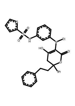 CCN(C1=C(O)CC(CCc2ccccc2)(C(C)C)OC1=O)c1cccc(NS(=O)(=O)c2cccs2)c1